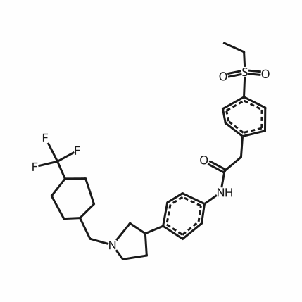 CCS(=O)(=O)c1ccc(CC(=O)Nc2ccc(C3CCN(CC4CCC(C(F)(F)F)CC4)C3)cc2)cc1